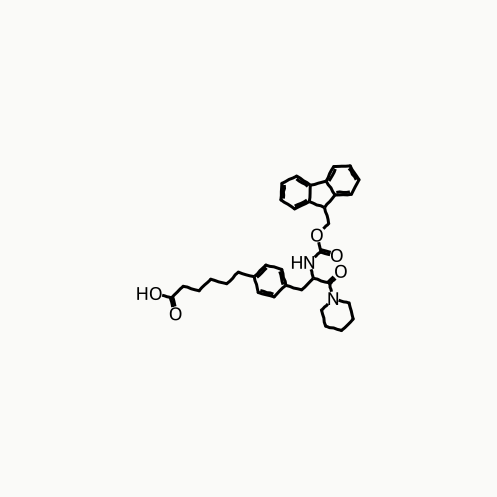 O=C(O)CCCCCc1ccc(CC(NC(=O)OCC2c3ccccc3-c3ccccc32)C(=O)N2CCCCC2)cc1